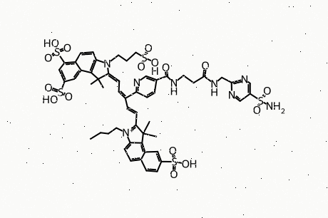 CCCC[N+]1=C(/C=C/C(=C/C=C2/N(CCCS(=O)(=O)O)c3ccc4c(S(=O)(=O)O)cc(S(=O)(=O)O)cc4c3C2(C)C)c2ccc(C(=O)NCCC(=O)NCc3ncc(S(N)(=O)=O)cn3)cn2)C(C)(C)c2c1ccc1ccc(S(=O)(=O)O)cc21